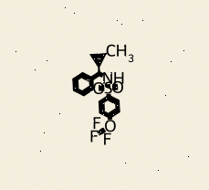 C[C@H]1C[C@@H]1C(NS(=O)(=O)c1ccc(OC(F)(F)F)cc1)c1ccccc1